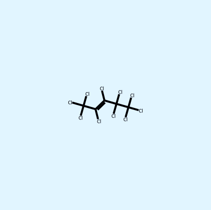 ClC(=C(Cl)C(Cl)(Cl)C(Cl)(Cl)Cl)C(Cl)(Cl)Cl